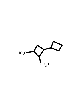 O=C(O)C1CC(C2CCC2)C1C(=O)O